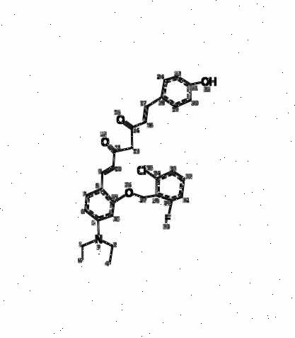 CCN(CC)c1ccc(C=CC(=O)CC(=O)C=Cc2ccc(O)cc2)c(OCc2c(F)cccc2Cl)c1